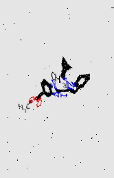 COC(=O)c1ccc2c(c1)NC(c1cc3ccccc3n1CC1CC1)N2C